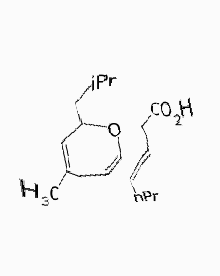 CC1=CC(CC(C)C)OC=C1.CCCC=CCC(=O)O